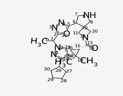 CC(c1nnc(C2CNCC23CN(C(=O)[C@H]2CC2(C)C)C3)o1)n1ccc(C2CCCC2)n1